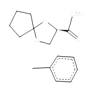 COC(=O)[C@@H]1OC2(CCCC2)O[C@H]1c1ccccc1C